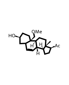 COC[C@]12CC[C@H](O)CC1C=C[C@@H]1[C@@H]2CC[C@]2(C)[C@@H](C(C)=O)CC[C@@H]12